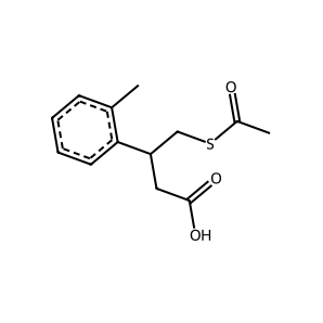 CC(=O)SCC(CC(=O)O)c1ccccc1C